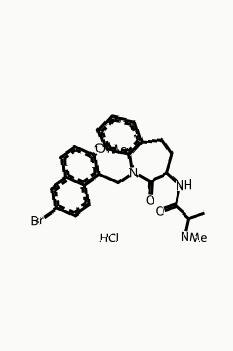 CNC(C)C(=O)NC1CCc2ccccc2N(Cc2c(OC)ccc3cc(Br)ccc23)C1=O.Cl